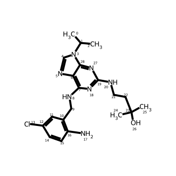 CC(C)n1cnc2c(NCc3cc(Cl)ccc3N)nc(NCCC(C)(C)O)nc21